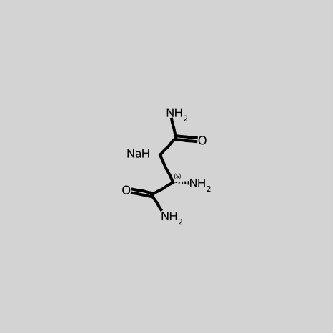 NC(=O)C[C@H](N)C(N)=O.[NaH]